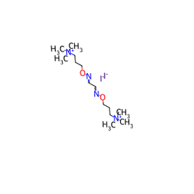 C[N+](C)(C)CCCO/N=C/C=N/OCCC[N+](C)(C)C.[I-].[I-]